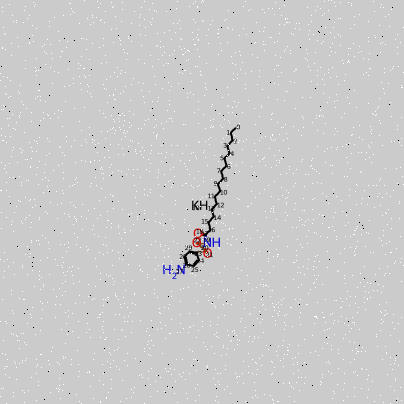 CCCCCCCCCCCCCCCCCC(=O)NS(=O)(=O)c1ccc(N)cc1.[KH]